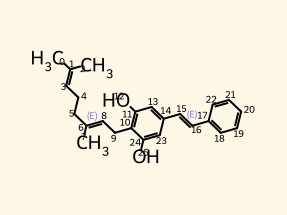 CC(C)=CCC/C(C)=C/Cc1c(O)cc(/C=C/c2ccccc2)cc1O